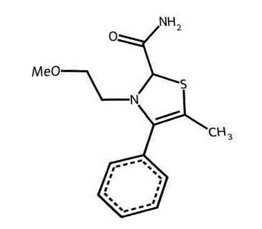 COCCN1C(c2ccccc2)=C(C)SC1C(N)=O